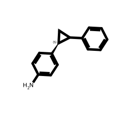 Nc1ccc([C@H]2CC2c2ccccc2)cc1